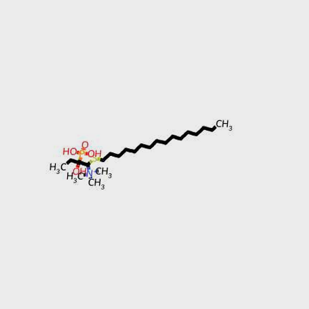 CCCCCCCCCCCCCCCCSC(C(O)(CC)P(=O)(O)O)[N+](C)(C)C